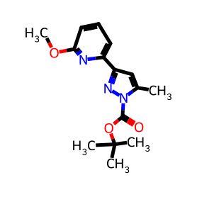 COc1cccc(-c2cc(C)n(C(=O)OC(C)(C)C)n2)n1